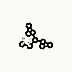 C1=CCNC(C2C=CC=C(c3cc(-c4ccc5c6c(cccc46)-c4ccccc4-5)cc(-c4ccc5c6c(cccc46)-c4ccccc4-5)c3)N2)=C1